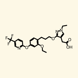 CCOc1cc(Oc2ccc(C(F)(F)F)cn2)ccc1CCCOc1nn(CC)cc1CC(=O)O